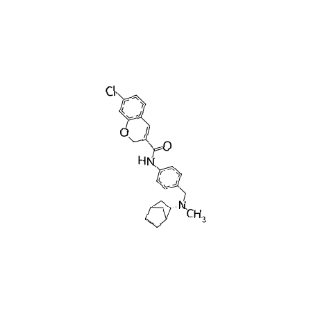 CN(Cc1ccc(NC(=O)C2=Cc3ccc(Cl)cc3OC2)cc1)[C@H]1CC2CCC1C2